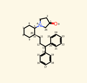 O=C1CCN(C2CCCC[C@@H]2CCC(c2ccccc2)c2ccccc2)C1